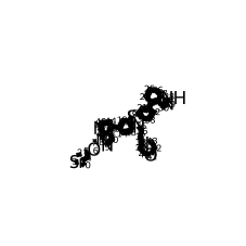 C[Si](C)(C)CCOCn1ncc2c(-c3ccc4c(c3)Sc3cc(-c5cccc6[nH]ncc56)ccc3N4CCN3CCOCC3)ccnc21